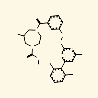 Cc1cccc(C)c1-c1cc(Cl)nc(NSc2cccc(C(=O)N3CCN(C(=O)OC(C)(C)C)CC(O)C3)c2)n1